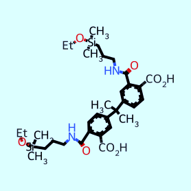 CCO[Si](C)(C)CCCNC(=O)c1ccc(C(C)(C)c2ccc(C(=O)O)c(C(=O)NCCC[Si](C)(C)OCC)c2)cc1C(=O)O